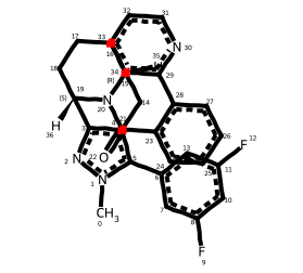 Cn1nc2c(c1-c1cc(F)cc(F)c1)C[C@H]1CCC[C@@H]2N1C(=O)c1ccccc1-c1ncccn1